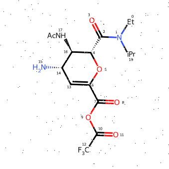 CCN(C(=O)[C@@H]1OC(C(=O)OC(=O)C(F)(F)F)=C[C@H](N)[C@H]1NC(C)=O)C(C)C